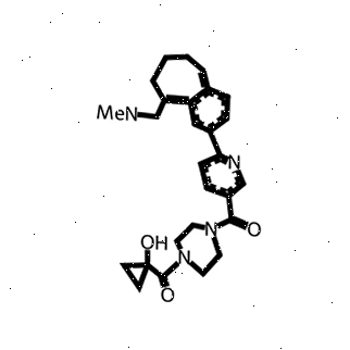 CNCC1=c2cc(-c3ccc(C(=O)N4CCN(C(=O)C5(O)CC5)CC4)cn3)ccc2=CCCC1